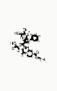 CCOC(=O)N1CCN(C(=O)[C@H](CCC(=O)O)NC(=O)c2cc(OC(C)C(=O)O)n(-c3ccccc3)n2)CC1